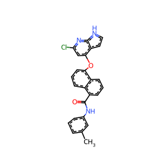 Cc1cccc(NC(=O)c2cccc3c(Oc4cc(Cl)nc5[nH]ccc45)cccc23)c1